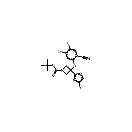 Cc1csc(C2(Oc3cc(Cl)c(F)cc3C#N)CN(C(=O)OC(C)(C)C)C2)n1